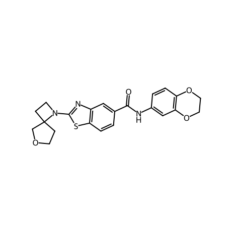 O=C(Nc1ccc2c(c1)OCCO2)c1ccc2sc(N3CCC34CCOC4)nc2c1